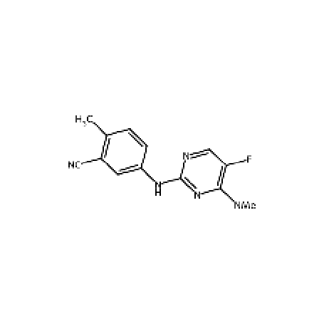 CNc1nc(Nc2ccc(C)c(C#N)c2)ncc1F